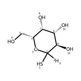 [2H]C1(S)O[C@H](CO)[C@H](O)[C@H](O)[C@H]1O